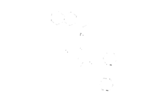 O=C(NC[C@@H]1CCN(CC(c2ccccc2)c2ccccc2)C(=O)[C@H](CN2CCCCC2)N1)c1ccc2ccccc2c1